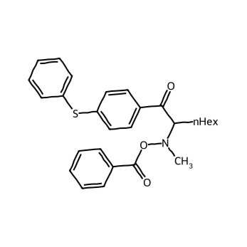 CCCCCCC(C(=O)c1ccc(Sc2ccccc2)cc1)N(C)OC(=O)c1ccccc1